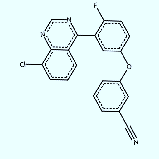 N#Cc1cccc(Oc2ccc(F)c(-c3ncnc4c(Cl)cccc34)c2)c1